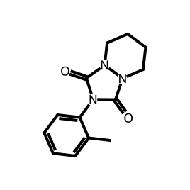 Cc1ccccc1-n1c(=O)n2n(c1=O)CCCC2